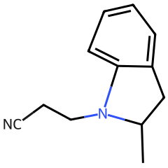 CC1Cc2ccccc2N1CCC#N